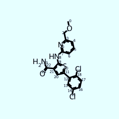 COCc1cccc(Nc2sc(-c3cc(Cl)ccc3Cl)cc2C(N)=O)n1